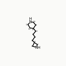 [CH](CCCC1CNC1)C1CCNCC1